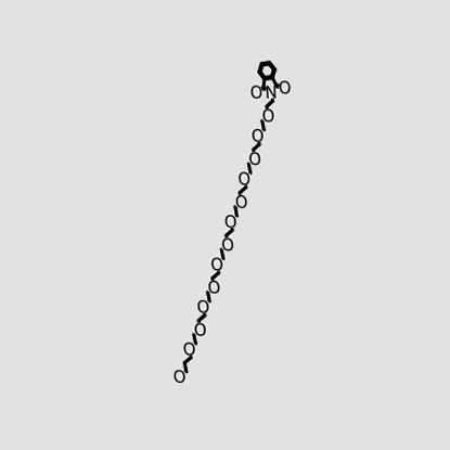 O=CCCOCCOCCOCCOCCOCCOCCOCCOCCOCCOCCOCCOCCN1C(=O)c2ccccc2C1=O